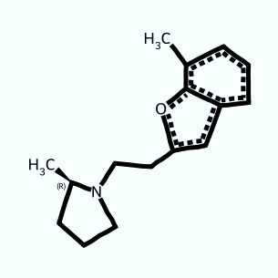 Cc1cccc2cc(CCN3CCC[C@H]3C)oc12